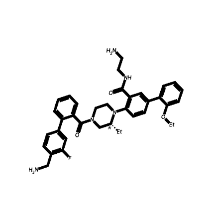 CCOc1ccccc1-c1ccc(N2CCN(C(=O)c3ccccc3-c3ccc(CN)c(F)c3)C[C@H]2CC)c(C(=O)NCCN)c1